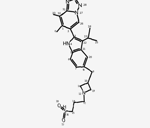 Cc1c(-c2[nH]c3ccc(CC4CN(CCC[SH](=O)=O)C4)cc3c2C(C)C)cn2ncnc2c1C